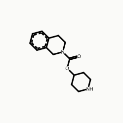 O=C(OC1CCNCC1)N1CCc2ccccc2C1